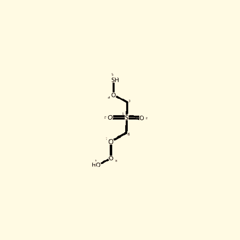 O=S(=O)(COS)COOO